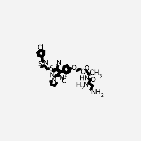 [C-]#[N+]c1c(N2CCCC2)nc(SCc2csc(-c3ccc(Cl)cc3)n2)c(C#N)c1-c1ccc(OCCOC(=O)[C@H](C)NC(=O)[C@@H](N)CCN)cc1